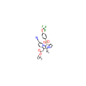 CCOC(=O)Cc1c(C)c(C(c2ccc[nH]2)S(=O)(=O)c2ccc(OC(F)(F)F)cc2)n2cc(C#N)ccc12